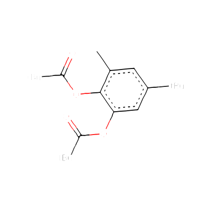 Cc1cc(C(C)(C)C)cc(OC(=O)C(C)(C)C)c1OC(=O)C(C)(C)C